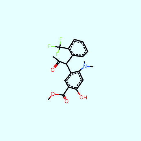 COC(=O)c1cc(C(C(C)=O)c2ccccc2C(F)(F)F)c(N(C)C)cc1O